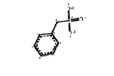 O=P(O)(O)Cc1c[c]ccc1